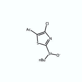 CCCC[S+]([O-])c1nc(Cl)c(C(C)=O)s1